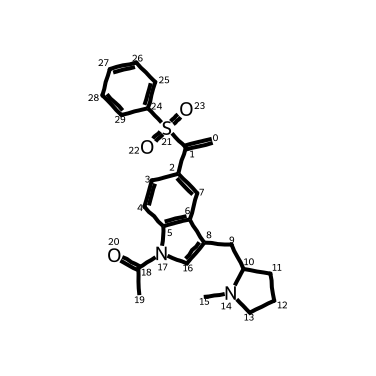 C=C(c1ccc2c(c1)c(CC1CCCN1C)cn2C(C)=O)S(=O)(=O)c1ccccc1